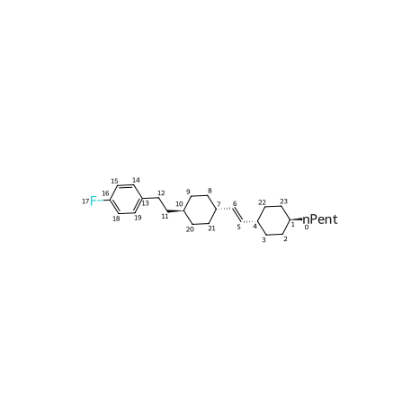 CCCCC[C@H]1CC[C@H](C=C[C@H]2CC[C@H](CCc3ccc(F)cc3)CC2)CC1